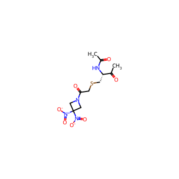 CC(=O)N[C@@H](CSCC(=O)N1CC([N+](=O)[O-])([N+](=O)[O-])C1)C(C)=O